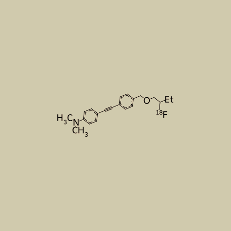 CCC(C[18F])COCc1ccc(C#Cc2ccc(N(C)C)cc2)cc1